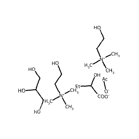 CC(=O)[O-].CCC(O)C(=O)[O-].C[N+](C)(C)CCO.C[N+](C)(C)CCO.OCC(O)CO